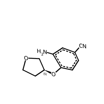 N#Cc1ccc(O[C@H]2CCOC2)c(N)c1